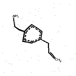 C=CCc1ccc([CH]N)cc1